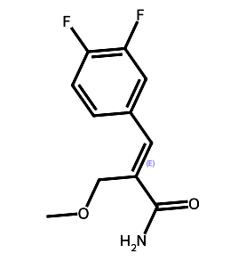 COC/C(=C\c1ccc(F)c(F)c1)C(N)=O